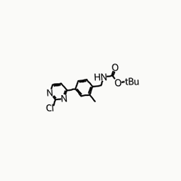 Cc1cc(-c2ccnc(Cl)n2)ccc1CNC(=O)OC(C)(C)C